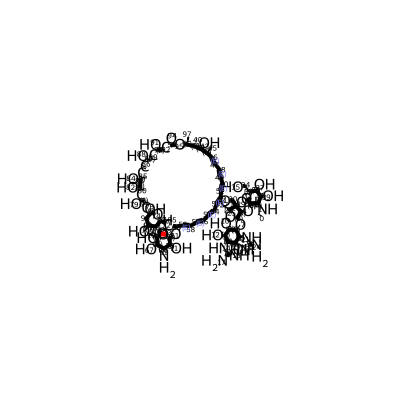 CN[C@@H]1[C@H](O[C@H]2[C@H](O[C@H]3[C@H](O)[C@@H](O)[C@H](NC(=N)N)[C@@H](O)[C@@H]3NC(=N)N)O[C@@H](C)[C@]2(O)C=O)O[C@@H](CO)[C@H](O)[C@H]1O.C[C@@H]1[C@H](O)[C@@H](C)/C=C/C=C/C=C/C=C/C=C/C=C/C=C/[C@H](O[C@@H]2O[C@H](C)[C@@H](O)[C@H](N)[C@@H]2O)C[C@@H]2O[C@](O)(C[C@@H](O)C[C@@H](O)[C@H](O)CC[C@@H](O)C[C@@H](O)CC(=O)O[C@H]1C)C[C@H](O)[C@H]2C(=O)O